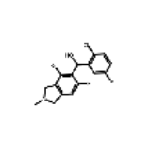 CN1Cc2cc(F)c(C(O)c3cc(F)ccc3Cl)c(Br)c2C1